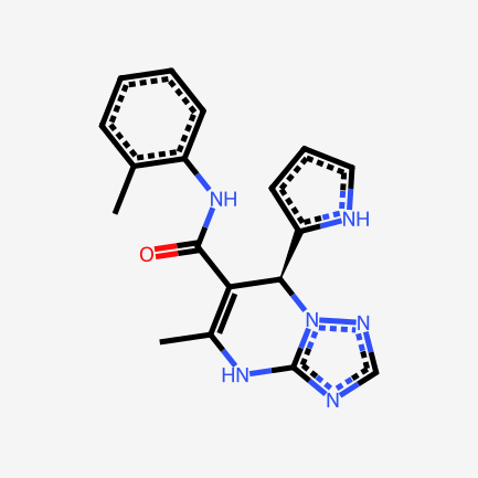 CC1=C(C(=O)Nc2ccccc2C)[C@@H](c2ccc[nH]2)n2ncnc2N1